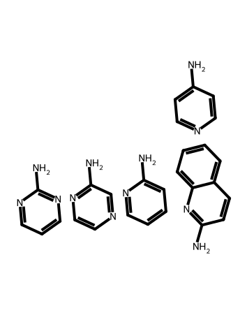 Nc1ccc2ccccc2n1.Nc1ccccn1.Nc1ccncc1.Nc1cnccn1.Nc1ncccn1